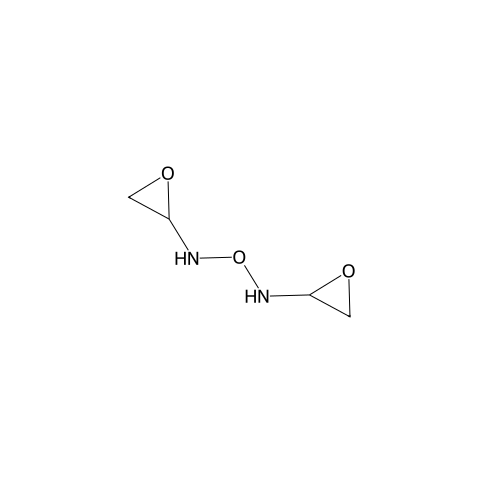 C1OC1NONC1CO1